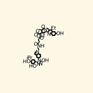 CCc1c2c(nc3ccc(O)cc13)-c1cc3c(c(=O)n1C2)COC(=O)C3(CC)OC(=O)CCC(=O)NCCn1ccc2cc(-n3c(O)nnc3-c3cc(C(C)C)c(O)cc3O)ccc21